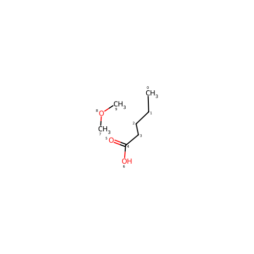 CCCCC(=O)O.COC